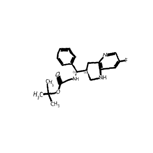 CC(C)(C)OC(=O)N[C@H](c1ccccc1)[C@@H]1CNc2cc(F)cnc2C1